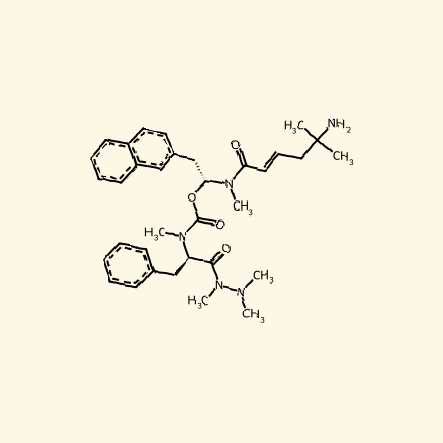 CN(C(=O)O[C@H](Cc1ccc2ccccc2c1)N(C)C(=O)/C=C/CC(C)(C)N)[C@H](Cc1ccccc1)C(=O)N(C)N(C)C